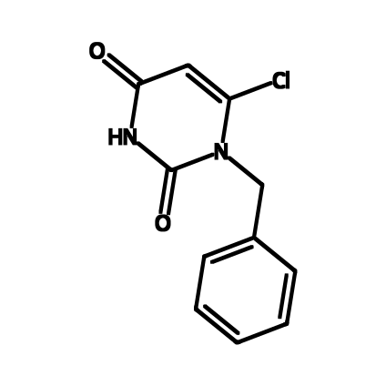 O=c1cc(Cl)n(Cc2ccccc2)c(=O)[nH]1